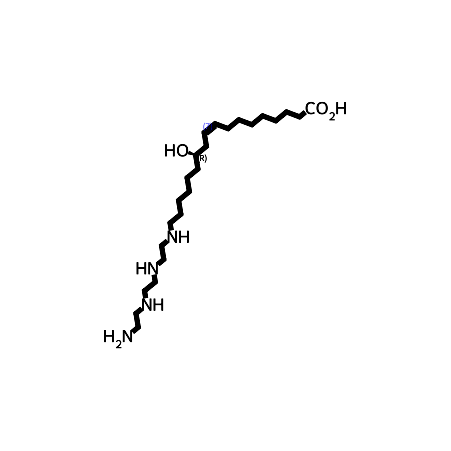 NCCNCCNCCNCCCCCC[C@@H](O)C/C=C\CCCCCCCC(=O)O